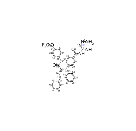 N=C(/N=N\N)NC(=O)c1ccc(CN(CC(c2ccccc2)c2ccccc2)C(=O)Cc2ccc(OC(F)(F)F)cc2)cc1